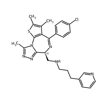 Cc1sc2c(c1C)C(c1ccc(Cl)cc1)=N[C@@H](CNCCCc1cccnc1)c1nnc(C)n1-2